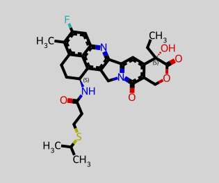 CC[C@@]1(O)C(=O)OCc2c1cc1n(c2=O)Cc2c-1nc1cc(F)c(C)c3c1c2[C@@H](NC(=O)CCSC(C)C)CC3